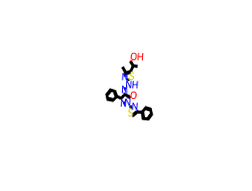 Cc1nc(N/N=C2\C(=O)N(c3nc(-c4ccccc4)cs3)N=C2c2ccccc2)sc1C(C)CO